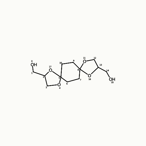 OCC1COC2(CCC3(CC2)OCC(CO)O3)O1